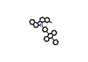 Cc1ccc2ccc3c4c5ccccc5ccc4n(-c4ccc(-c5c6ccccc6c(-c6ccccc6)c6ccccc56)cc4)c3c2c1